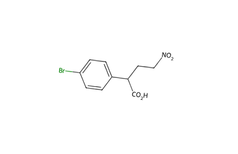 O=C(O)C(CC[N+](=O)[O-])c1ccc(Br)cc1